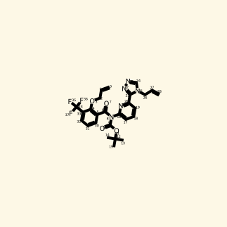 C=CCOc1c(C(=O)N(C(=O)OC(C)(C)C)c2cccc(-c3nncn3CC=C)n2)cccc1C(F)(F)F